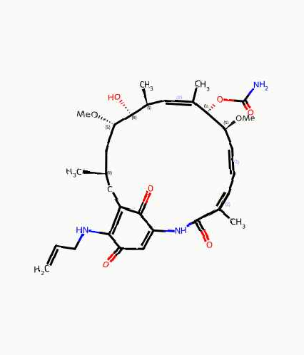 C=CCNC1=C2C[C@@H](C)C[C@H](OC)[C@H](O)[C@@H](C)/C=C(/C)[C@H](OC(N)=O)[C@@H](OC)/C=C\C=C(\C)C(=O)NC(=CC1=O)C2=O